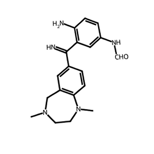 CN1CCN(C)c2ccc(C(=N)c3cc(NC=O)ccc3N)cc2C1